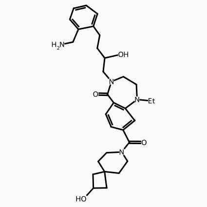 CCN1CCN(CC(O)CCc2ccccc2CN)C(=O)c2ccc(C(=O)N3CCC4(CC3)CC(O)C4)cc21